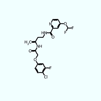 C=C(CCNC(=O)c1cc(OC(F)F)ccn1)NC(=O)COc1ccc(Cl)c(F)c1